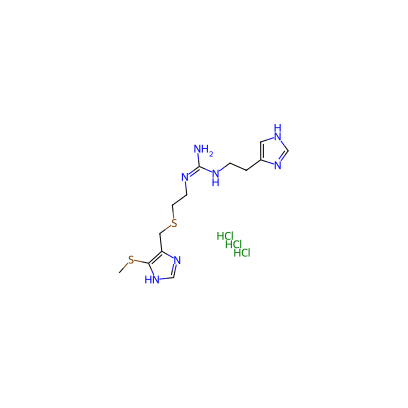 CSc1[nH]cnc1CSCCN=C(N)NCCc1c[nH]cn1.Cl.Cl.Cl